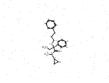 CCC(OCCCc1ccccc1)(C(=O)N(C)C1CC1)c1ccccc1